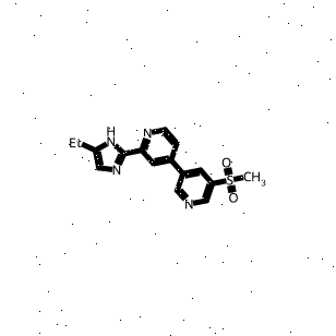 CCc1cnc(-c2cc(-c3cncc(S(C)(=O)=O)c3)ccn2)[nH]1